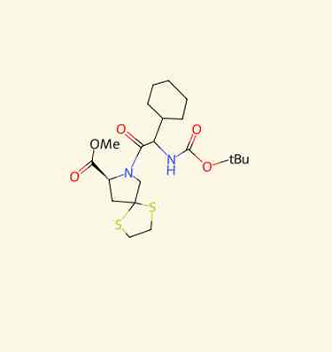 COC(=O)[C@@H]1CC2(CN1C(=O)C(NC(=O)OC(C)(C)C)C1CCCCC1)SCCS2